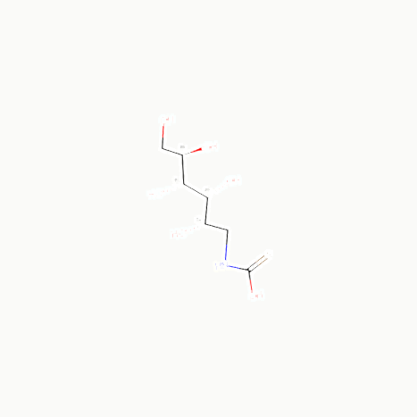 OC[C@@H](O)[C@@H](O)[C@H](O)[C@@H](O)CNC(O)=S